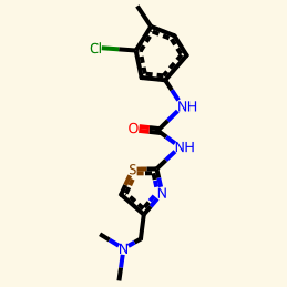 Cc1ccc(NC(=O)Nc2nc(CN(C)C)cs2)cc1Cl